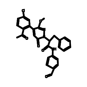 COc1nn(C(Cc2ccccc2)C(=O)Nc2ccc(C=O)cc2)c(=O)cc1-c1cc(Cl)ccc1C(C)=O